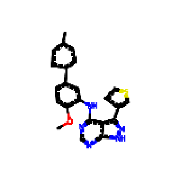 COc1ccc(-c2ccc(C)cc2)cc1Nc1ncnc2[nH]nc(-c3ccsc3)c12